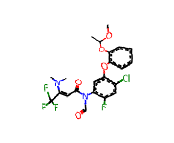 COC(C)Oc1ccccc1Oc1cc(N(C=O)C(=O)/C=C(\N(C)C)C(F)(F)F)c(F)cc1Cl